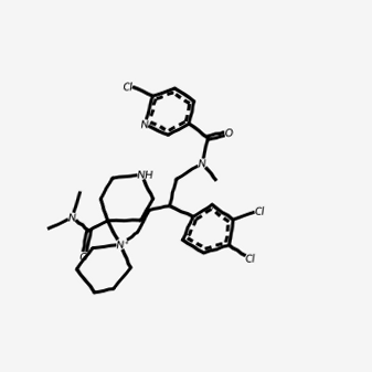 CN(C)C(=O)C1([N+]2(CCC(CN(C)C(=O)c3ccc(Cl)nc3)c3ccc(Cl)c(Cl)c3)CCCCC2)CCNCC1